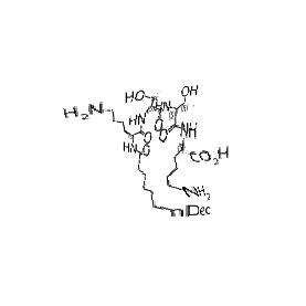 CCCCCCCCCCCCCCCC(=O)N[C@@H](CCCCN)C(=O)N[C@H](C(=O)N[C@H](C(=O)N[C@@H](CCCCN)C(=O)O)[C@@H](C)O)[C@@H](C)O